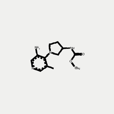 Cc1cncc(N)c1N1CCC(NC(=O)OC(C)(C)C)C1